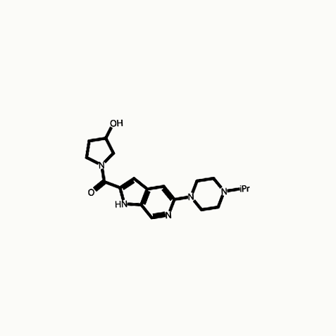 CC(C)N1CCN(c2cc3cc(C(=O)N4CCC(O)C4)[nH]c3cn2)CC1